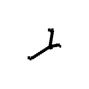 CCCCCCCCCCCCCCCCCCCn1cc[n+](CCCCC)c1CCCCCCCCCCCCCCC